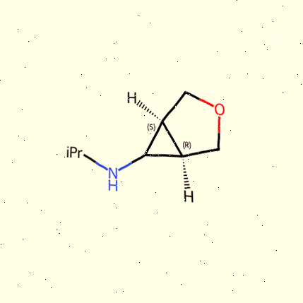 CC(C)NC1[C@H]2COC[C@@H]12